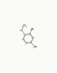 [CH2]C(C)c1ccc(OC(F)(F)F)c(Br)c1